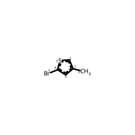 Cc1csc(Br)c1